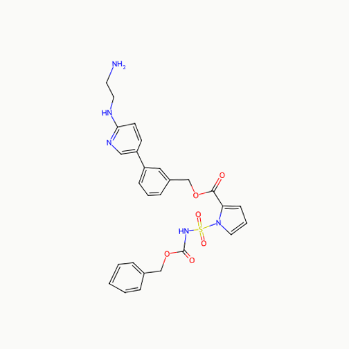 NCCNc1ccc(-c2cccc(COC(=O)c3cccn3S(=O)(=O)NC(=O)OCc3ccccc3)c2)cn1